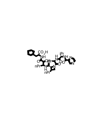 CCCC(NC(=O)[C@@H]1C(CCC)CN1C(=O)C(NC(=O)[C@@H](NC(=O)c1cnccn1)C(C)C)C(C)C)C(=O)C(=O)N[C@@H](Cc1ccccc1)C(=O)O